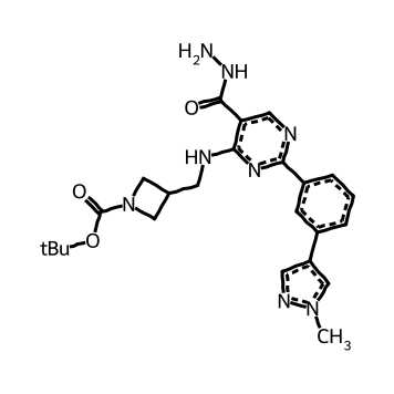 Cn1cc(-c2cccc(-c3ncc(C(=O)NN)c(NCC4CN(C(=O)OC(C)(C)C)C4)n3)c2)cn1